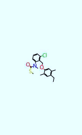 CCc1cc(C)c(OCc2c(Cl)cccc2N(C)C(=O)SC)cc1C